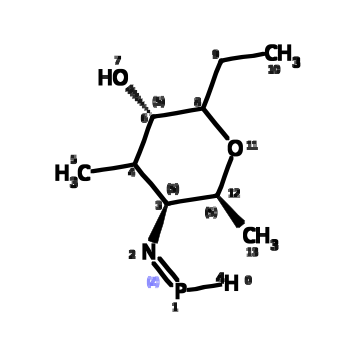 [4H]/P=N\[C@H]1C(C)[C@H](O)C(CC)O[C@H]1C